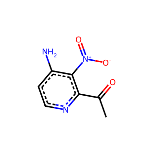 CC(=O)c1nccc(N)c1[N+](=O)[O-]